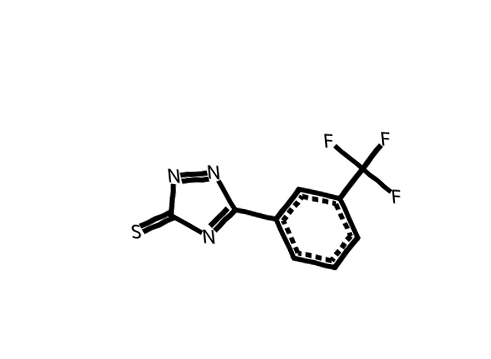 FC(F)(F)c1cccc(C2=NC(=S)N=N2)c1